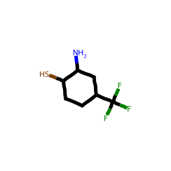 NC1CC(C(F)(F)F)CCC1S